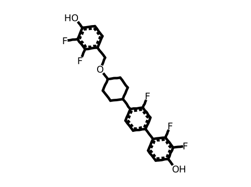 Oc1ccc(COC2CCC(c3ccc(-c4ccc(O)c(F)c4F)cc3F)CC2)c(F)c1F